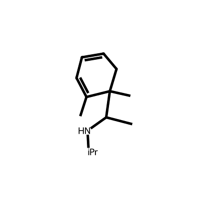 CC1=CC=CCC1(C)C(C)NC(C)C